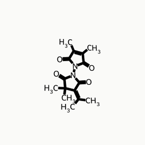 CC(C)=C1C(=O)N(N2C(=O)C(C)=C(C)C2=O)C(=O)C1(C)C